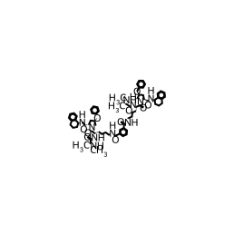 CN[C@@H](C)C(=O)N[C@@H](CCCCNC(=O)c1cccc(C(=O)NCCCC[C@H](NC(=O)[C@H](C)NC)C(=O)N2C[C@@H](Oc3ccccc3)C[C@H]2C(=O)N[C@@H]2CCCc3ccccc32)c1)C(=O)N1C[C@@H](Oc2ccccc2)C[C@H]1C(=O)N[C@@H]1CCCc2ccccc21